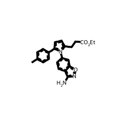 CCOC(=O)CCc1ccc(-c2ccc(C)cc2)n1-c1ccc2c(N)noc2c1